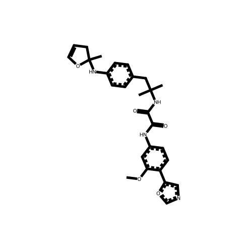 COc1cc(NC(=O)C(=O)NC(C)(C)Cc2ccc(NC3(C)CC=CO3)cc2)ccc1-c1cnco1